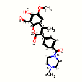 COc1cc2c(C)c(-c3ccc(C(=O)N4CCN(C)CC4)cc3)c(=O)oc2c(C=O)c1O